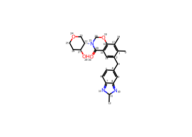 Cc1c(Cc2ccc3c(c2)=NC(C)N=3)cc2c(c1C)OCN([C@H]1COCC[C@@H]1O)C2=O